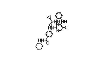 O=C(NC1CCCCC1)c1ccc(Nc2ncc(Cl)c(Nc3ccccc3NC(=O)C3CC3)n2)cc1